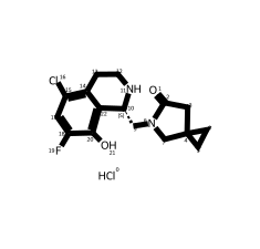 Cl.O=C1CC2(CC2)CN1C[C@H]1NCCc2c(Cl)cc(F)c(O)c21